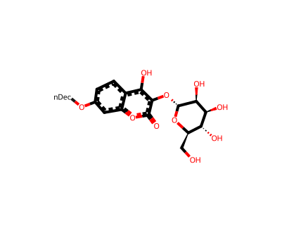 CCCCCCCCCCOc1ccc2c(O)c(O[C@H]3O[C@H](CO)[C@@H](O)[C@H](O)[C@@H]3O)c(=O)oc2c1